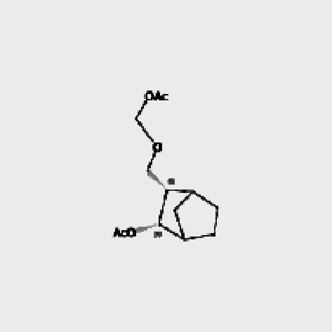 CC(=O)OCOC[C@@H]1C2CCC(C2)[C@@H]1OC(C)=O